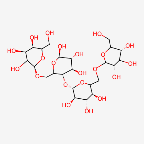 OCC1OC(OCC2O[C@@H](O[C@@H]3C(CO[C@@H]4OC(CO)[C@H](O)[C@H](O)C4O)O[C@@H](O)[C@H](O)[C@H]3O)[C@H](O)[C@@H](O)[C@@H]2O)[C@@H](O)C(O)[C@H]1O